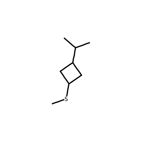 CSC1CC(C(C)C)C1